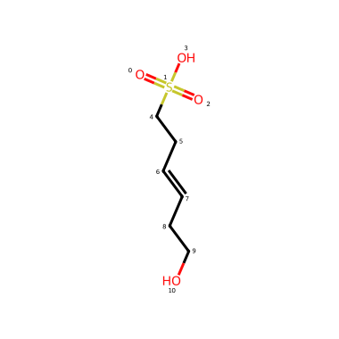 O=S(=O)(O)CCC=CCCO